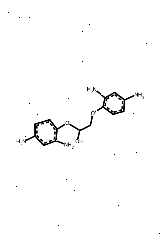 Nc1ccc(OCC(O)Oc2ccc(N)cc2N)c(N)c1